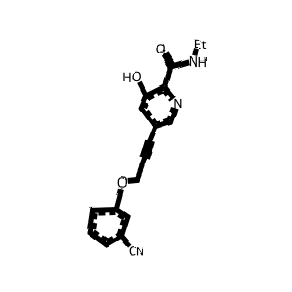 CCNC(=O)c1ncc(C#CCOc2cccc(C#N)c2)cc1O